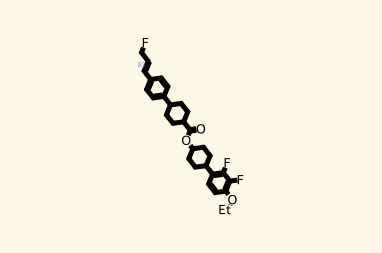 CCOc1ccc(C2CCC(OC(=O)C3CCC(c4ccc(/C=C/CF)cc4)CC3)CC2)c(F)c1F